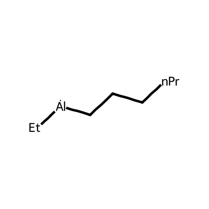 CCCCC[CH2][Al][CH2]C